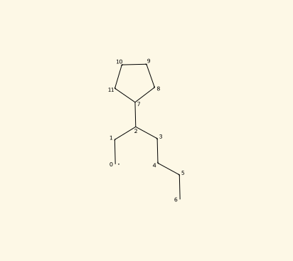 [CH2]CC(CCCC)C1CCCC1